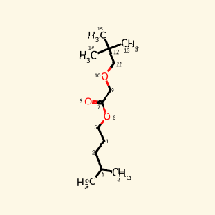 CC(C)CCCOC(=O)COCC(C)(C)C